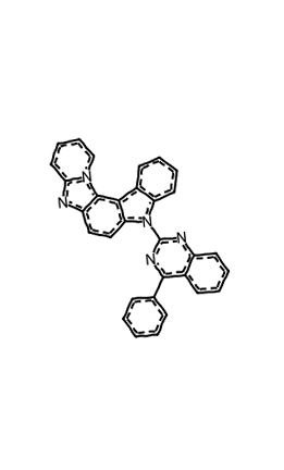 c1ccc(-c2nc(-n3c4ccccc4c4c3ccc3nc5ccccn5c34)nc3ccccc23)cc1